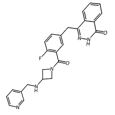 O=C(c1cc(Cc2n[nH]c(=O)c3ccccc23)ccc1F)N1CC(NCc2cccnc2)C1